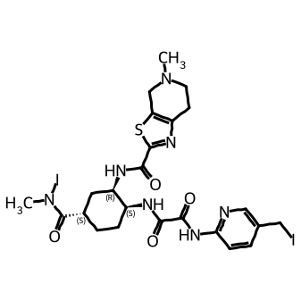 CN1CCc2nc(C(=O)N[C@@H]3C[C@@H](C(=O)N(C)I)CC[C@@H]3NC(=O)C(=O)Nc3ccc(CI)cn3)sc2C1